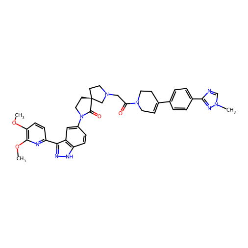 COc1ccc(-c2n[nH]c3ccc(N4CC[C@]5(CCN(CC(=O)N6CC=C(c7ccc(-c8ncn(C)n8)cc7)CC6)C5)C4=O)cc23)nc1OC